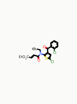 CCOC(=O)C=CC(=O)N(CC(C)(C)C)c1sc(Cl)cc1C(=O)c1ccccc1Cl